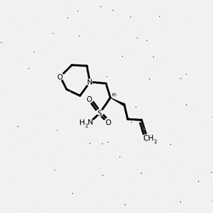 C=CCC[C@H](CN1CCOCC1)S(N)(=O)=O